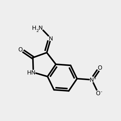 N/N=C1\C(=O)Nc2ccc([N+](=O)[O-])cc21